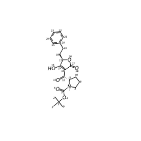 CC(C)(C)OC(=O)N1CCC[C@H]1C(=O)C1=C(O)[C@@H](CCc2ccccc2)OC1=O